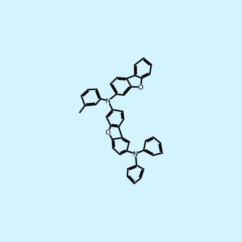 Cc1cccc(N(c2ccc3c(c2)oc2ccccc23)c2ccc3c(c2)oc2ccc(N(c4ccccc4)c4ccccc4)cc23)c1